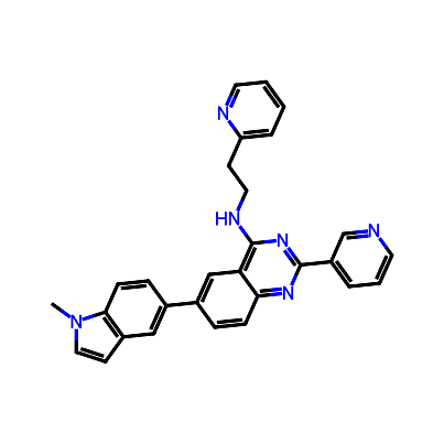 Cn1ccc2cc(-c3ccc4nc(-c5cccnc5)nc(NCCc5ccccn5)c4c3)ccc21